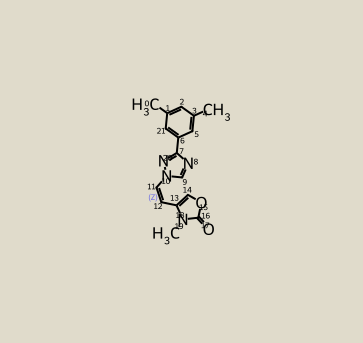 Cc1cc(C)cc(-c2ncn(/C=C\c3coc(=O)n3C)n2)c1